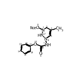 CON1CC(C)=CN(NC(=O)Oc2ccccc2)N1